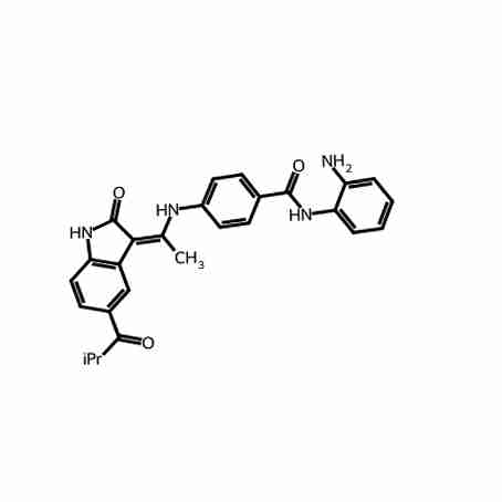 C/C(Nc1ccc(C(=O)Nc2ccccc2N)cc1)=C1/C(=O)Nc2ccc(C(=O)C(C)C)cc21